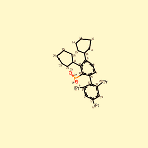 CC(C)c1cc(C(C)C)c(-c2ccc(C3CCCCC3)c(C3CCCCC3)c2P(=O)=O)c(C(C)C)c1